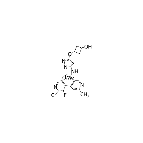 COc1cnc(Cl)c(F)c1-c1cc(C)ncc1C(=O)Nc1nnc(OC2CC(O)C2)s1